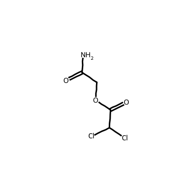 NC(=O)COC(=O)C(Cl)Cl